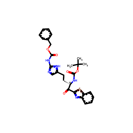 CC(C)(C)OC(=O)N[C@@H](CCc1cnc(NC(=O)OCc2ccccc2)[nH]1)C(=O)c1nc2ccccc2s1